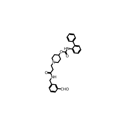 O=Cc1cccc(CNC(=O)CCN2CCC(OC(=O)Nc3ccccc3-c3ccccc3)CC2)c1